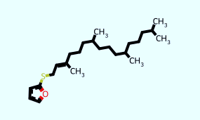 C/C(=C\CSc1ccco1)CCCC(C)CCCC(C)CCCC(C)C